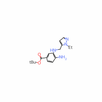 CCn1nccc1CNc1cc(C(=O)OC(C)(C)C)ccc1N